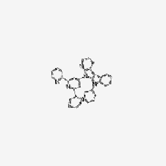 c1ccc(-n2c3ccccc3c3c4cccnc4n(-c4cc(-c5ccccn5)nc(-c5ccccn5)c4)c32)cc1